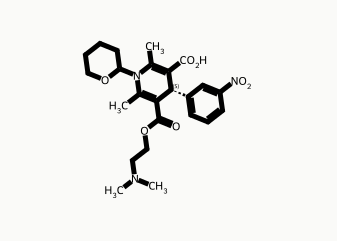 CC1=C(C(=O)O)[C@H](c2cccc([N+](=O)[O-])c2)C(C(=O)OCCN(C)C)=C(C)N1C1CCCCO1